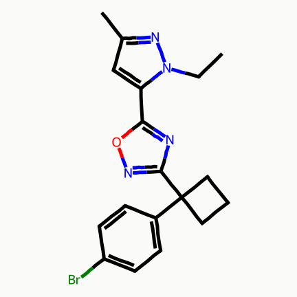 CCn1nc(C)cc1-c1nc(C2(c3ccc(Br)cc3)CCC2)no1